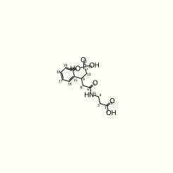 O=C(O)CCNC(=O)CC(CP(=O)(O)O)c1ccccc1